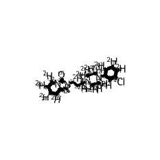 [2H]c1c([2H])c(Cl)c([2H])c(N2C([2H])([2H])C([2H])([2H])N(C([2H])([2H])CCn3nc4c([2H])c([2H])c([2H])c([2H])n4c3=O)C([2H])([2H])C2([2H])[2H])c1[2H]